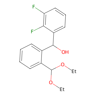 CCOC(OCC)c1ccccc1C(O)c1cccc(F)c1F